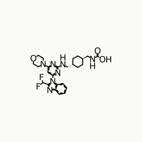 O=C(O)NC[C@H]1CC[C@H](CNc2nc(N3CCOCC3)cc(-n3c(C(F)F)nc4ccccc43)n2)CC1